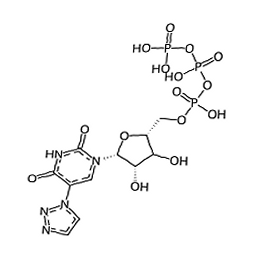 O=c1[nH]c(=O)n([C@@H]2O[C@H](COP(=O)(O)OP(=O)(O)OP(=O)(O)O)C(O)[C@@H]2O)cc1-n1ccnn1